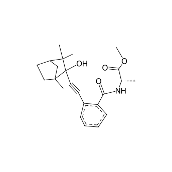 COC(=O)[C@H](C)NC(=O)c1ccccc1C#CC1(O)C2(C)CCC(C2)C1(C)C